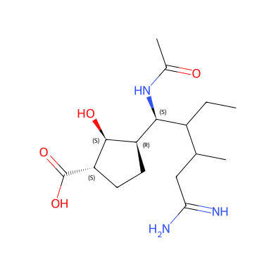 CCC(C(C)CC(=N)N)[C@H](NC(C)=O)[C@H]1CC[C@H](C(=O)O)[C@H]1O